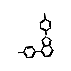 Cc1ccc(-c2cccc3nn(-c4ccc(C)cc4)nc23)cc1